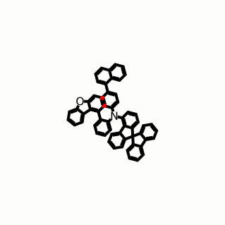 c1ccc(N(c2ccc(-c3cccc4ccccc34)cc2)c2cccc3c2-c2ccccc2C32c3ccccc3-c3ccccc32)c(-c2cccc3oc4ccccc4c23)c1